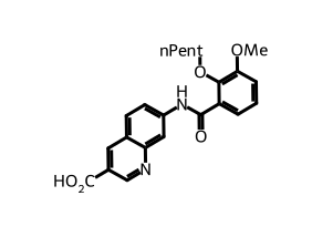 CCCCCOc1c(OC)cccc1C(=O)Nc1ccc2cc(C(=O)O)cnc2c1